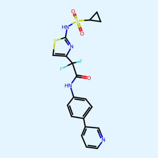 O=C(Nc1ccc(-c2cccnc2)cc1)C(F)(F)c1csc(NS(=O)(=O)C2CC2)n1